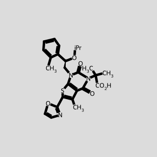 Cc1ccccc1[C@H](Cn1c(=O)n(C(C)(C)C(=O)O)c(=O)c2c(C)c(-c3ncco3)sc21)OC(C)C